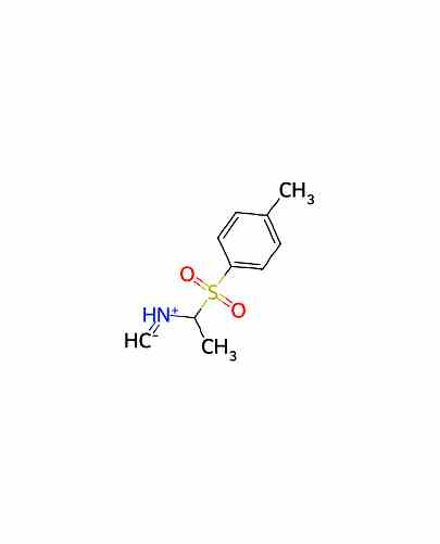 [CH-]=[NH+]C(C)S(=O)(=O)c1ccc(C)cc1